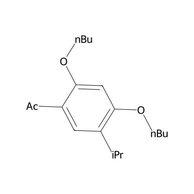 CCCCOc1cc(OCCCC)c(C(C)C)cc1C(C)=O